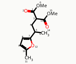 COC(=O)C(CC(C)c1ccc(C)o1)C(=O)OC